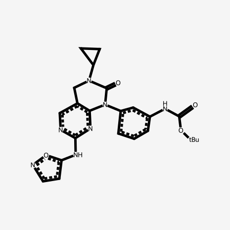 CC(C)(C)OC(=O)Nc1cccc(N2C(=O)N(C3CC3)Cc3cnc(Nc4ccno4)nc32)c1